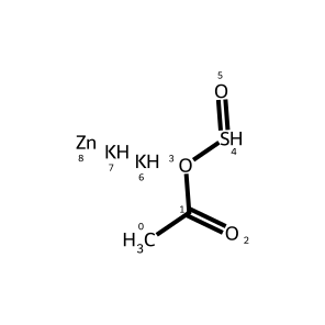 CC(=O)O[SH]=O.[KH].[KH].[Zn]